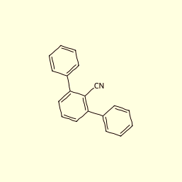 N#Cc1c(-c2ccccc2)cccc1-c1ccccc1